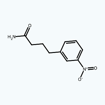 NC(=O)CCCc1cccc([N+](=O)[O-])c1